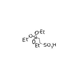 CCO[Si](CCS(=O)(=O)O)(OCC)OCC